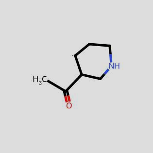 CC(=O)C1[CH]CCNC1